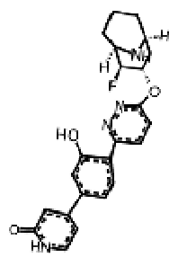 O=c1cc(-c2ccc(-c3ccc(O[C@H]4C[C@@H]5CCC[C@@H](N5)[C@@H]4F)nn3)c(O)c2)cc[nH]1